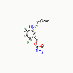 COCCNc1cc(COC(N)=O)c(F)cc1F